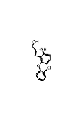 OCc1cc2c(Oc3ccccc3Cl)cccc2[nH]1